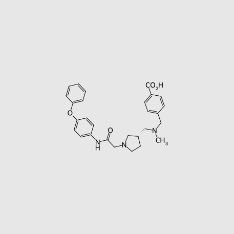 CN(Cc1ccc(C(=O)O)cc1)C[C@@H]1CCN(CC(=O)Nc2ccc(Oc3ccccc3)cc2)C1